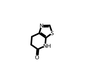 O=C1CCc2ncsc2N1